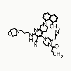 C=CC(=O)N1CCN(c2c(C#N)c(NCCCN3CCOCC3)nc3c2CCN(c2cccc4cccc(C)c24)C3)C[C@@H]1CC#N